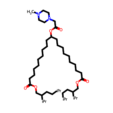 CC(C)CCC(COC(=O)CCCCCCCCCC(CCCCCCCCCC(=O)OCC(CCC(C)C)C(C)C)OC(=O)CN1CCN(C)CC1)C(C)C